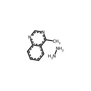 Cc1ncnc2ccccc12.NN